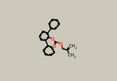 C=C(C)COC(=O)Oc1c(-c2ccccc2)cccc1-c1ccccc1